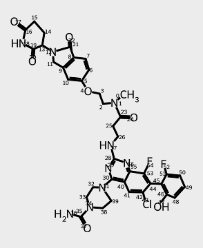 CN(CCOc1ccc2c(c1)CN(C1CCC(=O)NC1=O)C2=O)C(=O)CCNc1nc(N2CCN(C(N)=O)CC2)c2cc(Cl)c(-c3c(O)cccc3F)c(F)c2n1